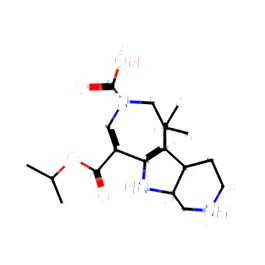 CC(C)OC(=O)C1=CN(C(=O)O)CC(C)(C)C2=C1NC1CNCCC21